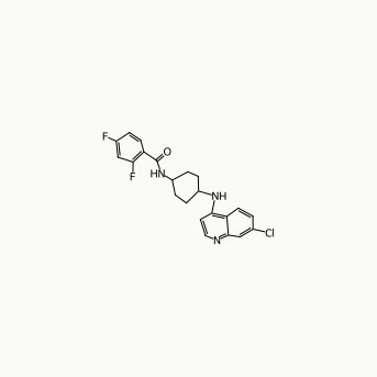 O=C(NC1CCC(Nc2ccnc3cc(Cl)ccc23)CC1)c1ccc(F)cc1F